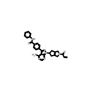 C=CC(=O)N1CC2=C(CC(n3nc(-c4ccc(C(=O)Nc5ccccc5)cc4)c4c(N)ncnc43)C2)C1